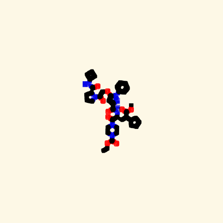 CCOC(=O)N1CCN(C(=O)[C@H](CC(C(=O)OC)C2CCCC2)NC(=O)c2cc(OCC(=O)N3CCC[C@H]3C(=O)NC3CCC3)n(-c3ccccc3)n2)CC1